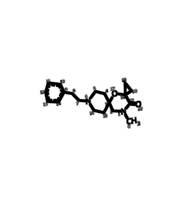 CN1CC2(CCN(CCc3ccccc3)CC2)OC2(CC2)C1=O